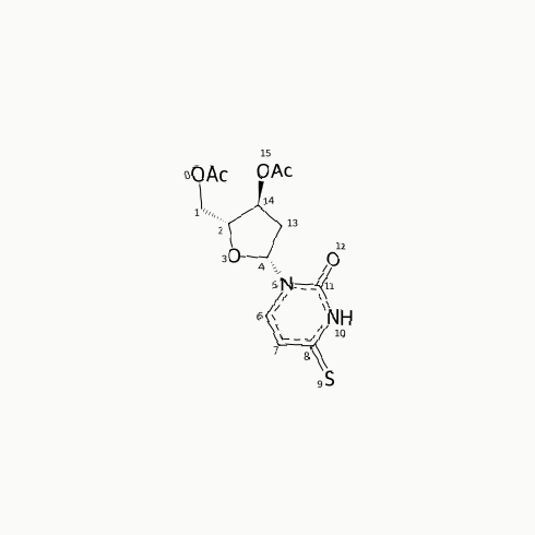 CC(=O)OC[C@H]1O[C@@H](n2ccc(=S)[nH]c2=O)C[C@@H]1OC(C)=O